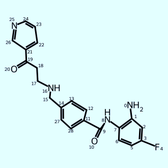 Nc1cc(F)ccc1NC(=O)c1ccc(CNCCC(=O)c2cccnc2)cc1